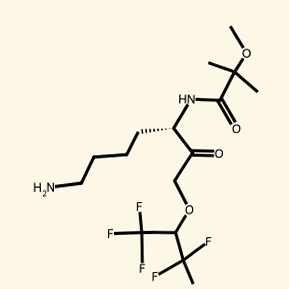 COC(C)(C)C(=O)N[C@@H](CCCCN)C(=O)COC(C(C)(F)F)C(F)(F)F